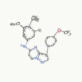 CCc1cc(Nc2ccn3ncc(-c4ccc(OC(F)(F)F)cc4)c3n2)cc(OC)c1OC